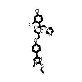 CCSc1nc(-c2ccc(OCC3COC(Cn4ccnc4)(c4ccc(Cl)cc4Cl)O3)cc2)cn1C